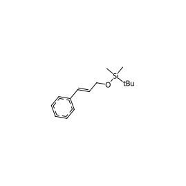 CC(C)(C)[Si](C)(C)OC/C=C/c1ccccc1